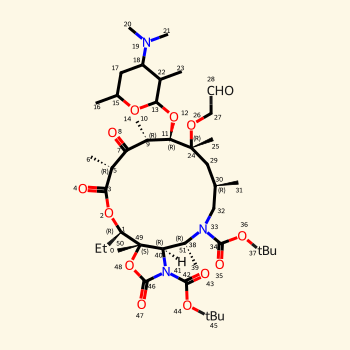 CC[C@H]1OC(=O)[C@H](C)C(=O)[C@H](C)[C@@H](OC2OC(C)CC(N(C)C)C2C)[C@](C)(OCC=O)C[C@@H](C)CN(C(=O)OC(C)(C)C)[C@H](C)[C@H]2N(C(=O)OC(C)(C)C)C(=O)O[C@]12C